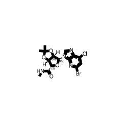 CNC(=O)[C@H]1O[C@@H](n2cnc3c(Cl)cc(Br)nc32)[C@@H]2OC(C)(C)O[C@@H]21